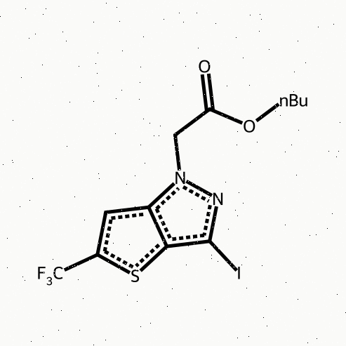 CCCCOC(=O)Cn1nc(I)c2sc(C(F)(F)F)cc21